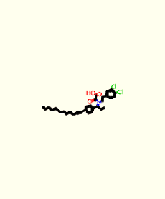 CCCCCCCCCCC#Cc1ccc(C(CC)N(CCc2ccc(Cl)c(Cl)c2)C(=O)C(=O)O)cc1